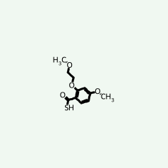 COCCOc1cc(OC)ccc1C(=O)S